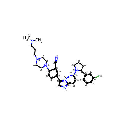 CN(C)CCCN1CCN(c2ccc(-c3cnc4ccc(N5CCCC5c5cccc(F)c5)nn34)cc2C#N)CC1